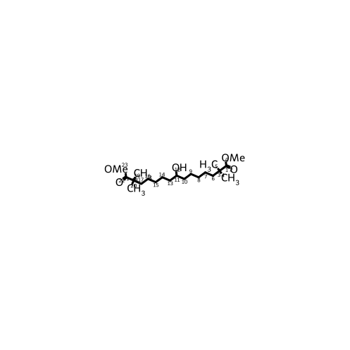 COC(=O)C(C)(C)CCCCCC(O)CCCCCC(C)(C)C(=O)OC